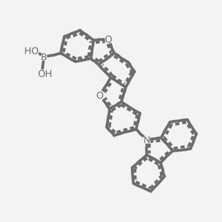 OB(O)c1ccc2oc3ccc4c5cc(-n6c7ccccc7c7ccccc76)ccc5oc4c3c2c1